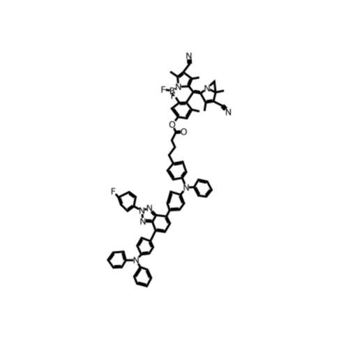 CC1=C(C#N)C2(C)CN2/C1=C(/c1c(C)cc(OC(=O)CCCc2ccc(N(c3ccccc3)c3ccc(-c4ccc(-c5ccc(N(c6ccccc6)c6ccccc6)cc5)c5nn(-c6ccc(F)cc6)nc45)cc3)cc2)cc1C)c1c(C)c(C#N)c(C)n1B(F)F